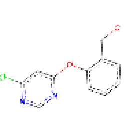 [O]Cc1ccccc1Oc1cc(Cl)ncn1